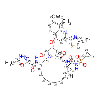 COc1ccc2c(O[C@@H]3C[C@H]4C(=O)N[C@]5(C(=O)NS(=O)(=O)C6CC6)C[C@H]5/C=C\CCCCC[C@H](NC(=O)c5nnc(C)o5)C(=O)N4C3)cc(-c3nc(C(C)C)cs3)nc2c1C